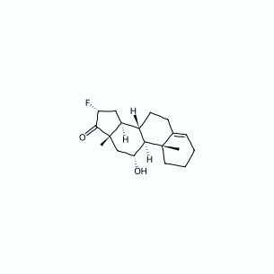 C[C@]12CCCC=C1CC[C@@H]1[C@@H]2[C@H](O)C[C@]2(C)C(=O)[C@H](F)C[C@@H]12